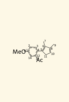 COc1ccc(C2=C(C)C(C)=CC2)c(C(C)=O)c1